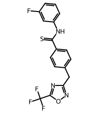 Fc1cccc(NC(=S)c2ccc(Cc3noc(C(F)(F)F)n3)cc2)c1